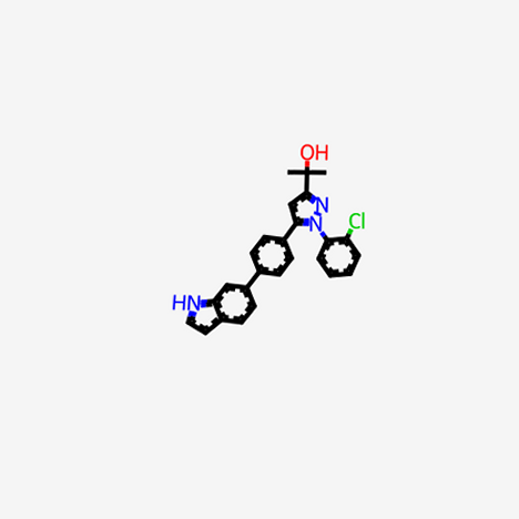 CC(C)(O)c1cc(-c2ccc(-c3ccc4cc[nH]c4c3)cc2)n(-c2ccccc2Cl)n1